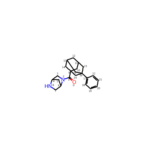 O=C(N1CC2CC1CN2)C12CC3CC(C1)CC(c1ccccc1)(C3)C2